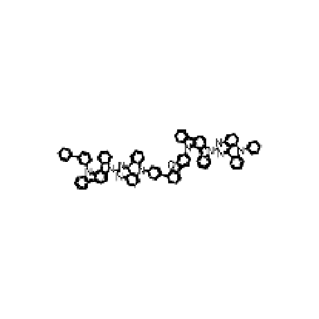 c1ccc(-c2cccc(-n3c4ccccc4c4ccc5c(c6ccccc6n5-c5nc6c7c(cccc7n5)N(c5ccc(-c7cccc8c7oc7cc(-n9c%10ccccc%10c%10ccc%11c(c%12ccccc%12n%11-c%11nc%12c%13c(cccc%13n%11)N(c%11ccccc%11)c%11ccccc%11-%12)c%109)ccc78)cc5)c5ccccc5-6)c43)c2)cc1